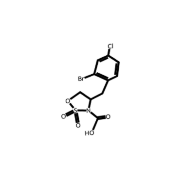 O=C(O)N1C(Cc2ccc(Cl)cc2Br)COS1(=O)=O